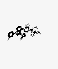 C[C@H]1CN(C(=O)OC(C)(C)C)CCN1c1nccc2c1c(N1CCC1=O)cn2-c1cccc(F)c1